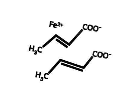 CC=CC(=O)[O-].CC=CC(=O)[O-].[Fe+2]